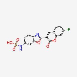 O=c1oc2cc(F)ccc2cc1-c1nc2ccc(NS(=O)(=O)O)cc2o1